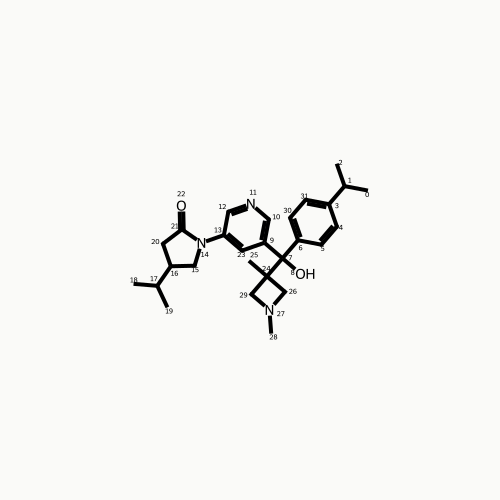 CC(C)c1ccc(C(O)(c2cncc(N3CC(C(C)C)CC3=O)c2)C2(C)CN(C)C2)cc1